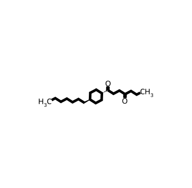 CCCCCCC[C@H]1CC[C@H](C(=O)CCC(=O)CCC)CC1